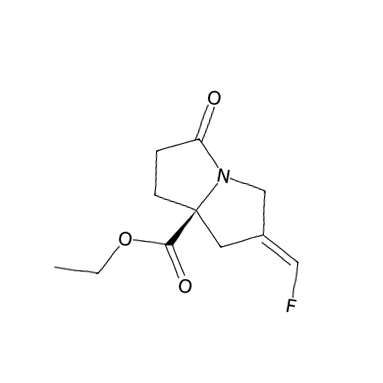 CCOC(=O)[C@@]12CCC(=O)N1CC(=CF)C2